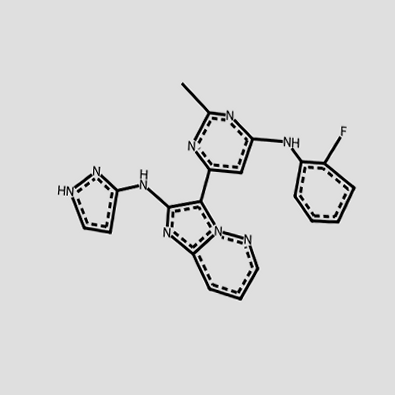 Cc1nc(Nc2ccccc2F)cc(-c2c(Nc3cc[nH]n3)nc3cccnn23)n1